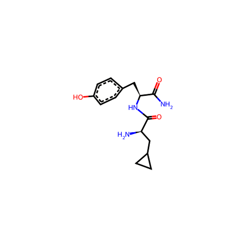 NC(=O)[C@H](Cc1ccc(O)cc1)NC(=O)[C@H](N)CC1CC1